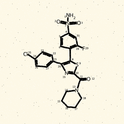 NS(=O)(=O)c1ccc(-c2sc(C(=O)N3CCCCC3)nc2-c2ccc(Cl)cc2)c(F)c1